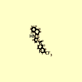 C=C(N1CCc2ncc(C(F)(F)F)cc2C1)N1CCC(NC2CCCc3ccccc32)C1